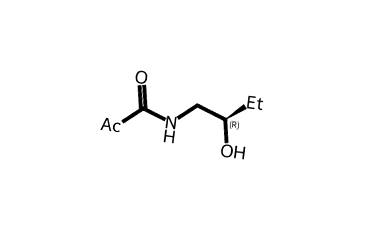 CC[C@@H](O)CNC(=O)C(C)=O